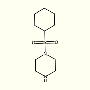 O=S(=O)(C1CCCCC1)N1CCNCC1